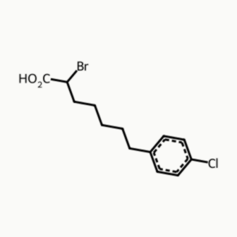 O=C(O)C(Br)CCCCCc1ccc(Cl)cc1